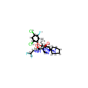 CC(C)(Oc1cc(F)c(Cl)cc1Cl)C(=O)NC1CC2CCC(C1)N2c1ccc(C(=O)NCC(F)F)cn1